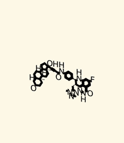 Cn1ncnc1C[C@H]1c2n[nH]c(=O)c3cc(F)cc(c23)N[C@@H]1c1ccc(NC(=O)C#C[C@]2(O)CC[C@H]3[C@@H]4CC[C@H]5CC(=O)CC[C@]5(C)C4CC[C@@]32C)cc1